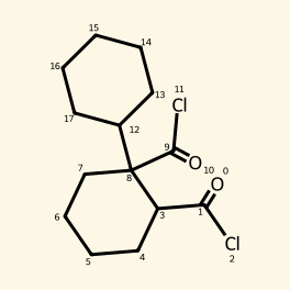 O=C(Cl)C1CCCCC1(C(=O)Cl)C1CCCCC1